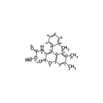 Cc1cc2oc(=O)c(NC(=O)OC(C)(C)C)c(-c3ccccc3C)c2cc1C